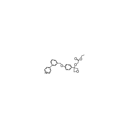 CCOC(=O)COC1(c2ccc(OCc3cccc(-c4ccncc4)c3)cc2)COC1